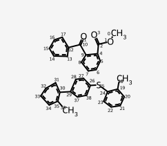 COC(=O)c1ccccc1C(=O)c1ccccc1.Cc1ccccc1Sc1ccc(-c2ccccc2C)cc1